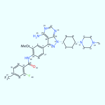 COc1cc(-c2nn([C@H]3CC[C@@H](N4CCN(C)CC4)CC3)c3ncnc(N)c23)ccc1NC(=O)c1ccc(C(F)(F)F)cc1F